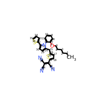 CCCCCCOc1ccccc1-n1c(Cc2ccc(C(C#N)=C(C#N)C#N)s2)ccc1-c1cccs1